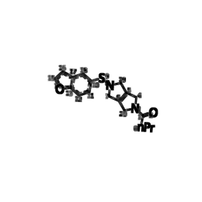 CCCC(=O)N1CC2=C(CN(Sc3ccc4occc4c3)C2)C1